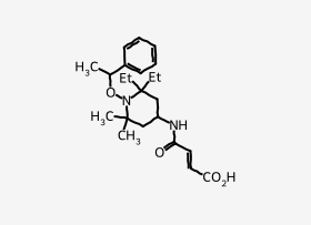 CCC1(CC)CC(NC(=O)/C=C/C(=O)O)CC(C)(C)N1OC(C)c1ccccc1